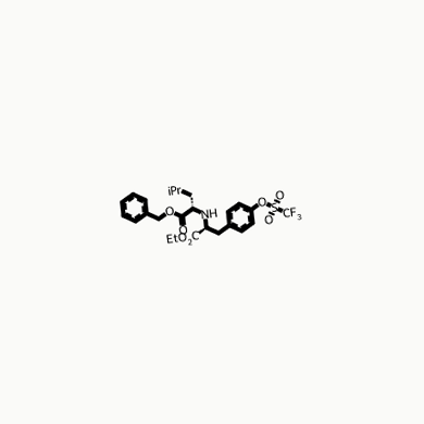 CCOC(=O)[C@H](Cc1ccc(OS(=O)(=O)C(F)(F)F)cc1)N[C@@H](CC(C)C)C(=O)OCc1ccccc1